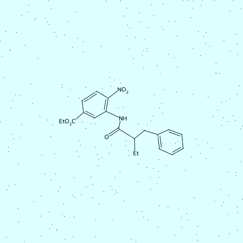 CCOC(=O)c1ccc([N+](=O)[O-])c(NC(=O)C(CC)Cc2ccccc2)c1